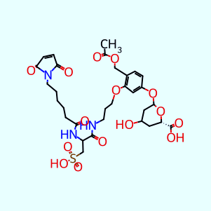 CC(=O)OCc1ccc(OC2CC(O)C[C@@H](C(=O)O)O2)cc1OCCCNC(=O)C(CS(=O)(=O)O)NC(=O)CCCCCN1C(=O)C=CC1=O